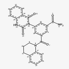 NC(=O)c1cc(C(=O)N2CCCc3ccccc32)cc(-n2c(=O)[nH]c3ccccc3c2=O)c1